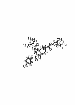 CC(C)(C)OC(=O)N[C@@H]1CN(NC(=O)OCC[Si](C)(C)C)CC[C@@H]1NC(=O)C(=O)Nc1ccc(Cl)cn1